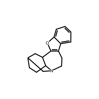 c1ccc2c3c(oc2c1)C1CC2CCC1N(CC3)C2